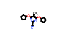 Cc1c(OC2CCCC2)nc(C#N)nc1OC1CCCC1